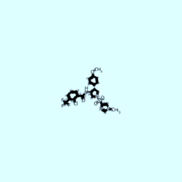 COc1ccc([C@@H]2CN(S(=O)(=O)c3cn(C)cn3)C[C@H]2NC(=O)c2cccc(C(F)(F)F)c2Cl)cc1